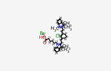 C[N+]1=C(C=CC2=C(Cl)C(=CC=C3N(CCCCCC(=O)O)c4ccccc4C3(C)C)CCC2)C(C)(C)c2ccccc21.[Br-]